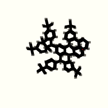 CC(C)(C)c1ccc(N2c3ccc(C(C)(C)C)cc3B3c4ccccc4N(c4ccc(C(C)(C)C)cc4-c4ccccc4)c4cc(N5c6ccc(C(C)(C)C)cc6C6(C)CC(C(C)(C)C)CCC56C)cc2c43)cc1